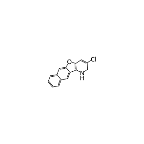 ClC1=Cc2oc3cc4ccccc4cc3c2NC1